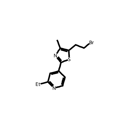 CCc1cc(-c2nc(C)c(CCBr)s2)ccn1